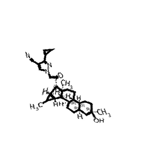 CC1[C@@H]2[C@H]1[C@H](C(=O)Cn1cc(C#N)c(C3CC3)n1)[C@@]1(C)CC[C@H]3[C@@H](CC[C@@H]4C[C@](C)(O)CC[C@@H]43)[C@H]21